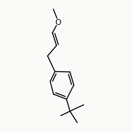 CO/C=C/Cc1ccc(C(C)(C)C)cc1